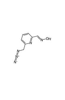 [N-]=[N+]=NCc1cccc(C=NO)n1